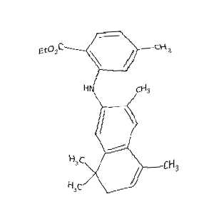 CCOC(=O)c1ccc(C)cc1Nc1cc2c(cc1C)C(C)=CCC2(C)C